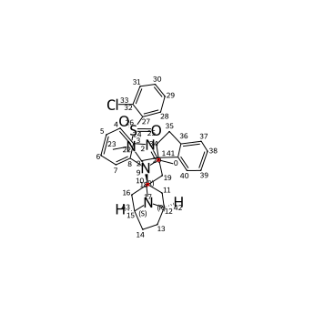 Cc1nc2ccccc2n1[C@H]1C[C@H]2CC[C@@H](C1)N2CCC1(CN(C)S(=O)(=O)c2ccccc2Cl)CCc2ccccc21